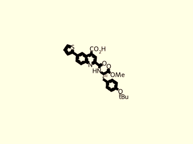 COC(=O)[C@H](Cc1ccc(OC(C)(C)C)cc1)NC(=O)c1cc(C(=O)O)c2cc(-c3cccs3)ccc2n1